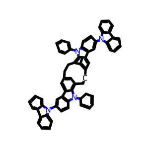 Cc1c2cc3c4cc(-n5c6ccccc6c6ccccc65)ccc4n(-c4ccccc4)c3c1CCc1cc(c3c(c1)c1cc(-n4c5ccccc5c5ccccc54)ccc1n3C1C=CC=CC1)CC2